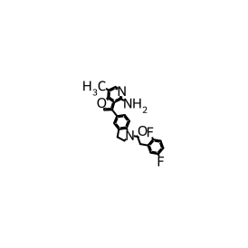 Cc1cnc(N)c2c(-c3ccc4c(c3)CCN4C(=O)Cc3cc(F)ccc3F)coc12